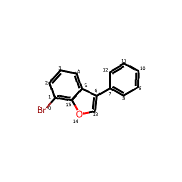 Brc1cccc2c(-c3ccccc3)coc12